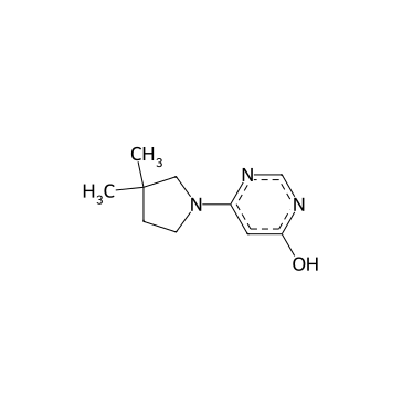 CC1(C)CCN(c2cc(O)ncn2)C1